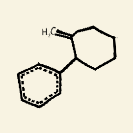 C=C1C[CH]CCC1c1[c]cccc1